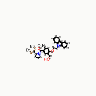 CCSC(SCC)[C@@H]1CCCN1C(=O)c1cc(CO)c(OCCn2c3ccccc3c3ccccc32)cc1[N+](=O)[O-]